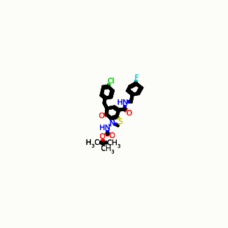 CC(C)(C)OC(=O)NN1CSC2=C1C(=O)C(Cc1ccc(Cl)cc1)C=C2C(=O)NCc1ccc(F)cc1